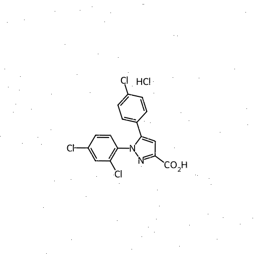 Cl.O=C(O)c1cc(-c2ccc(Cl)cc2)n(-c2ccc(Cl)cc2Cl)n1